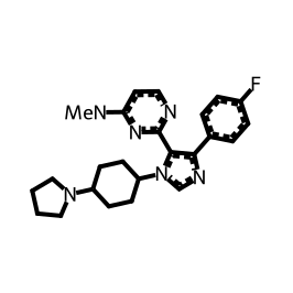 CNc1ccnc(-c2c(-c3ccc(F)cc3)ncn2C2CCC(N3CCCC3)CC2)n1